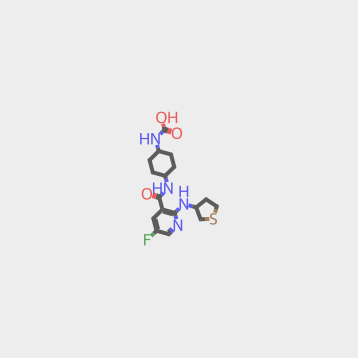 O=C(O)NC1CCC(NC(=O)c2cc(F)cnc2NC2CCSC2)CC1